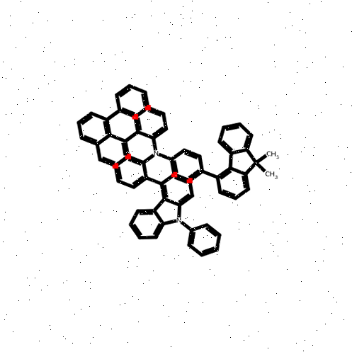 CC1(C)c2ccccc2-c2c(-c3ccc(N(c4ccccc4-c4cccc5cccc(-c6ccccc6)c45)c4ccccc4-c4cccc5c4c4ccccc4n5-c4ccccc4)cc3)cccc21